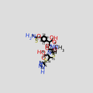 CO[C@@]1(NC(=O)C(C(=O)O)c2ccc(OC(N)=S)cc2)C(=O)N2C(C(=O)O)=C(CSc3c[nH]nn3)CS[C@H]21